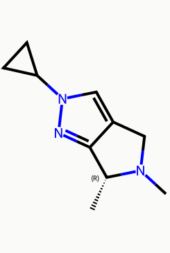 C[C@@H]1c2nn(C3CC3)cc2CN1C